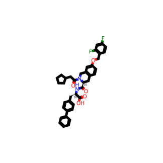 O=C(O)[C@H](Cc1ccc(-c2ccccc2)cc1)NC(=O)[C@@H]1Cc2ccc(OCc3ccc(F)cc3F)cc2CN1C(=O)CC1CCCC1